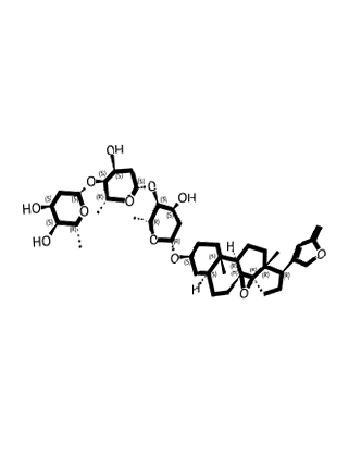 C=C1C=C([C@H]2CC[C@]34O[C@@]35CC[C@H]3C[C@@H](O[C@H]6C[C@H](O)[C@H](O[C@H]7C[C@H](O)[C@H](O[C@H]8C[C@H](O)[C@H](O)[C@@H](C)O8)[C@@H](C)O7)[C@@H](C)O6)CC[C@]3(C)[C@H]5CC[C@]24C)CO1